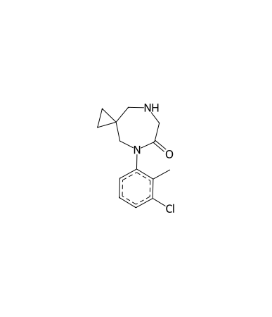 Cc1c(Cl)cccc1N1CC2(CC2)CNCC1=O